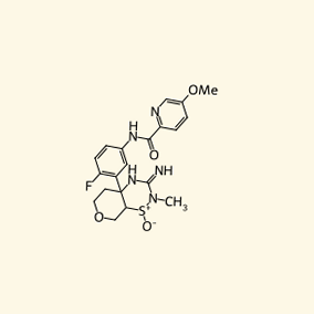 COc1ccc(C(=O)Nc2ccc(F)c(C34CCOCC3[S+]([O-])N(C)C(=N)N4)c2)nc1